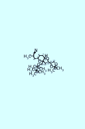 C[C@@H](C#N)C[C@H]1CC[C@@H]2O[C@@H]([C@H]3COC(C)(C)O3)CC2(CO[Si](C)(C)C(C)(C)C)O1